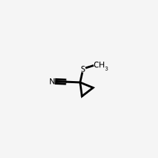 CSC1(C#N)CC1